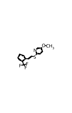 COc1ccc(S/C=C/c2ccccc2C(F)(F)F)nc1